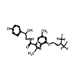 Cc1cc(OCCC(C(F)(F)F)C(F)(F)F)c2nc(C)c(C(=O)NCC(O)c3ccc(Cl)cc3)n2c1